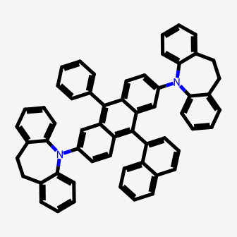 c1ccc(-c2c3cc(N4c5ccccc5CCc5ccccc54)ccc3c(-c3cccc4ccccc34)c3cc(N4c5ccccc5CCc5ccccc54)ccc23)cc1